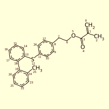 C=C(C)C(=O)OCCc1ccc(Sc2ccccc2-c2ccccc2C)cc1